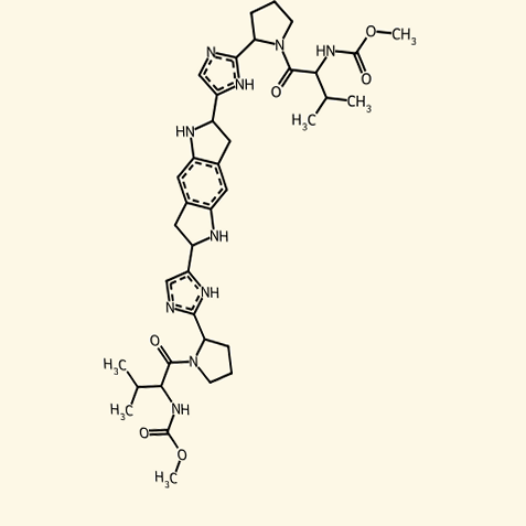 COC(=O)NC(C(=O)N1CCCC1c1ncc(C2Cc3cc4c(cc3N2)CC(c2cnc(C3CCCN3C(=O)C(NC(=O)OC)C(C)C)[nH]2)N4)[nH]1)C(C)C